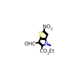 CCOC(=O)c1c(C=O)c2sc([N+](=O)[O-])cc2n1C